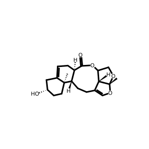 C[C@]12OC=C3CC[C@H]4[C@@H](CC=C5C[C@@H](O)CC[C@@]54C)C(=O)OC(CO1)[C@@H]32